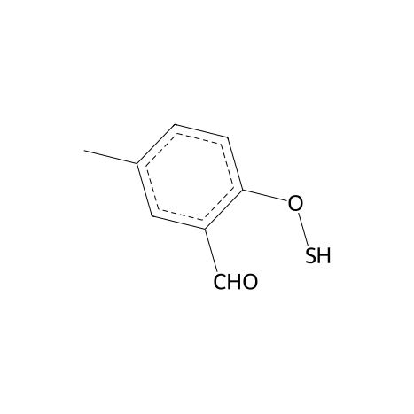 Cc1ccc(OS)c(C=O)c1